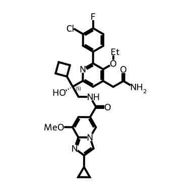 CCOc1c(CC(N)=O)cc([C@@](O)(CNC(=O)c2cc(OC)c3nc(C4CC4)cn3c2)C2CCC2)nc1-c1ccc(F)c(Cl)c1